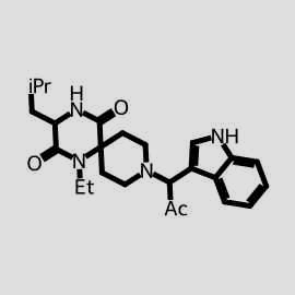 CCN1C(=O)C(CC(C)C)NC(=O)C12CCN(C(C(C)=O)c1c[nH]c3ccccc13)CC2